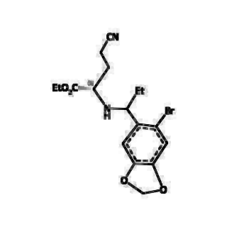 CCOC(=O)[C@H](CCC#N)NC(CC)c1cc2c(cc1Br)OCO2